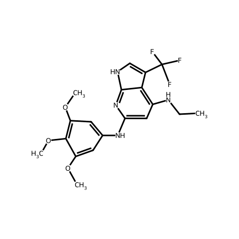 CCNc1cc(Nc2cc(OC)c(OC)c(OC)c2)nc2[nH]cc(C(F)(F)F)c12